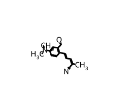 CC(C#N)=CC=Cc1ccc(N(C)C)cc1C=O